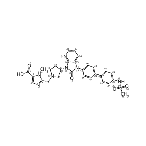 Cn1c(C(=O)O)cnc1CN1CC[C@H](n2c(=O)n(-c3ccc(-c4ccc(NS(C)(=O)=O)cc4)cc3)c3cccnc32)C1